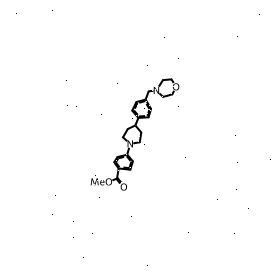 COC(=O)c1ccc(N2CCC(c3ccc(CN4CCOCC4)cc3)CC2)cc1